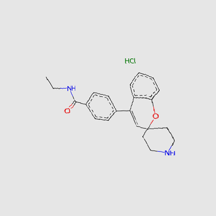 CCNC(=O)c1ccc(C2=CC3(CCNCC3)Oc3ccccc32)cc1.Cl